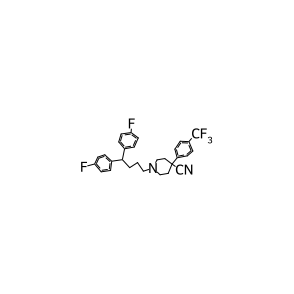 N#CC1(c2ccc(C(F)(F)F)cc2)CCN(CCCC(c2ccc(F)cc2)c2ccc(F)cc2)CC1